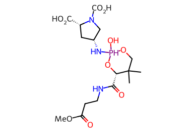 COC(=O)CCNC(=O)[C@@H]1O[PH](O)(N[C@@H]2C[C@H](C(=O)O)N(C(=O)O)C2)OCC1(C)C